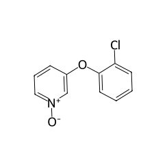 [O-][n+]1cccc(Oc2ccccc2Cl)c1